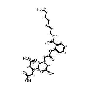 CCCCOCCOC(=O)c1ccccc1OC(=O)CN(CCN(CC(=O)O)CC(=O)O)CC(=O)O